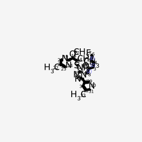 COC(/C=C\C=C\F)=C\n1c(NSC(C)C(OC)c2ncc(C)cn2)nnc1-c1cncc(C)c1